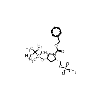 CC(C)(C)[Si](C)(C)O[C@H]1C[C@@H](COS(C)(=O)=O)N(C(=O)OCc2ccccc2)C1